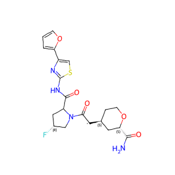 NC(=O)[C@@H]1C[C@@H]([CH]C(=O)N2C[C@H](F)CC2C(=O)Nc2nc(-c3ccco3)cs2)CCO1